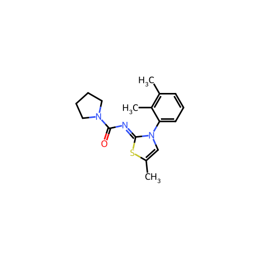 Cc1cn(-c2cccc(C)c2C)/c(=N/C(=O)N2CCCC2)s1